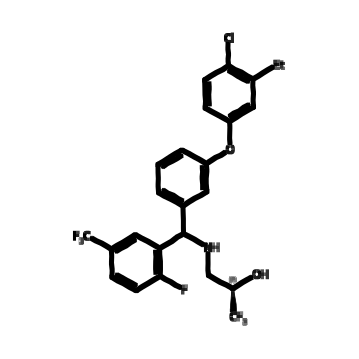 CCc1cc(Oc2cccc(C(NC[C@@H](O)C(F)(F)F)c3cc(C(F)(F)F)ccc3F)c2)ccc1Cl